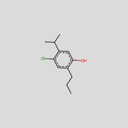 CCCc1cc(Cl)c(C(C)C)cc1O